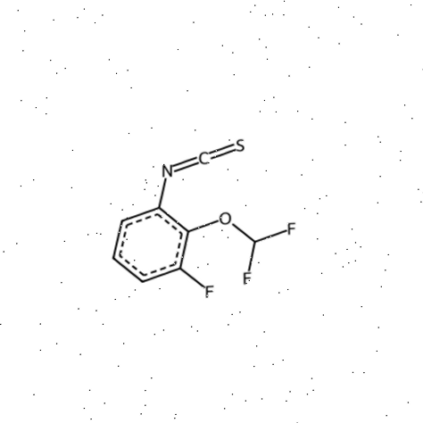 Fc1cccc(N=C=S)c1OC(F)F